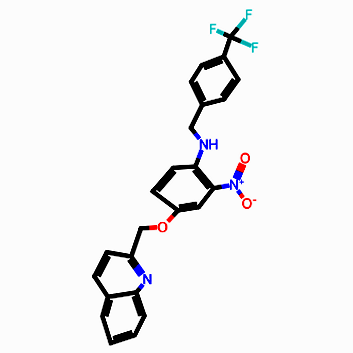 O=[N+]([O-])c1cc(OCc2ccc3ccccc3n2)ccc1NCc1ccc(C(F)(F)F)cc1